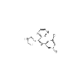 Clc1cc(Cl)cc(O[C@H](c2cnccn2)[C@@H]2CCNC2)c1